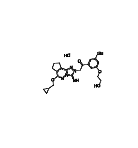 CC(C)(C)c1cc(OCCO)cc(C(=O)Cn2nc3c4c(c(OCC5CC5)nn3c2=N)CCC4)c1.Cl